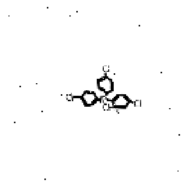 C[PH](c1ccc(Cl)cc1)(c1ccc(Cl)cc1)c1ccc(Cl)cc1